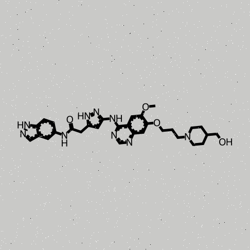 COc1cc2c(Nc3cc(CC(=O)Nc4ccc5[nH]ncc5c4)[nH]n3)ncnc2cc1OCCCN1CCC(CO)CC1